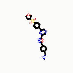 CNCc1ccc(-c2nnc(-c3cncc(-c4ccc(S(=O)(=O)C5CCOC5)cc4)n3)o2)cc1